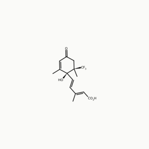 CC(C=C[C@]1(O)C(C)=CC(=O)C[C@@]1(C)C(F)(F)F)=CC(=O)O